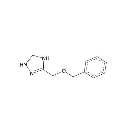 c1ccc(COCC2=NNCN2)cc1